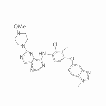 CON1CCN(c2ncc3ncnc(Nc4ccc(Oc5ccc6c(c5)ncn6C)c(C)c4Cl)c3n2)CC1